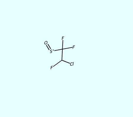 O=[S+]C(F)(F)C(F)Cl